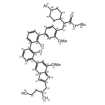 COc1nc(-c2cccc(-c3ccnc(-c4cc(OC)c5nc(CN(C)CCO)nn5c4)c3Cl)c2Cl)ccc1CN(C(=O)OC(C)(C)C)C1CCN(C(C)=O)CC1